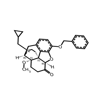 CO[C@@]12CCC(=O)[C@@H]3Oc4c(OCc5ccccc5)ccc5c4[C@@]31CCN(CC1CC1)[C@@H]2C5